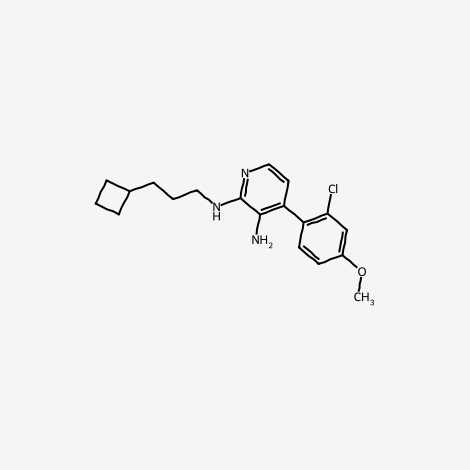 COc1ccc(-c2ccnc(NCCCC3CCC3)c2N)c(Cl)c1